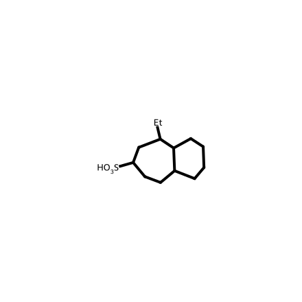 CCC1CC(S(=O)(=O)O)CCC2CCCCC21